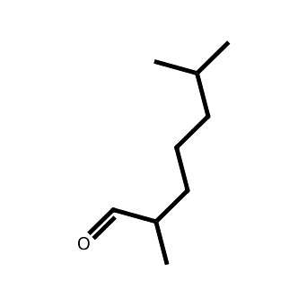 CC(C)CCCC(C)C=O